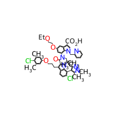 CCOCCOc1cc(N2C[C@@H](C)n3c(c(CCCOc4cc(C)c(Cl)c(C)c4)c4ccc(Cl)c(-c5c(C)nn(C)c5C)c43)C2=O)c2c(c1)c(C(=O)O)cn2Cc1ccccn1